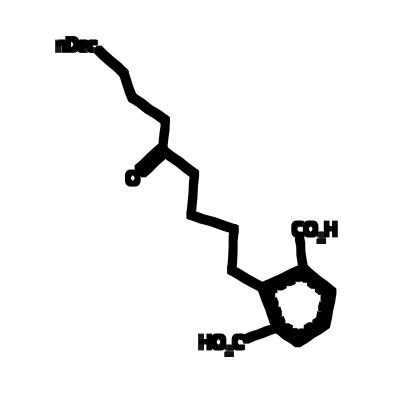 CCCCCCCCCCCCCC(=O)CCCCc1c(C(=O)O)cccc1C(=O)O